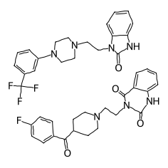 O=C(c1ccc(F)cc1)C1CCN(CCn2c(=O)[nH]c3ccccc3c2=O)CC1.O=c1[nH]c2ccccc2n1CCN1CCN(c2cccc(C(F)(F)F)c2)CC1